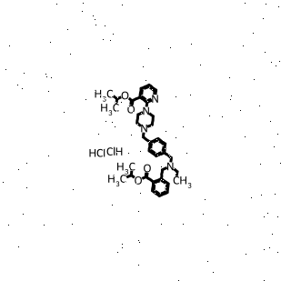 CCN(Cc1ccc(CN2CCN(c3ncccc3C(=O)OC(C)C)CC2)cc1)Cc1ccccc1C(=O)OC(C)C.Cl.Cl